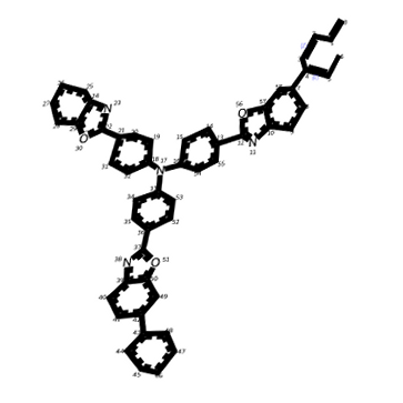 C=C/C=C\C(=C/C)c1ccc2nc(-c3ccc(N(c4ccc(-c5nc6ccccc6o5)cc4)c4ccc(-c5nc6ccc(-c7ccccc7)cc6o5)cc4)cc3)oc2c1